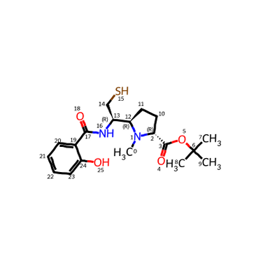 CN1[C@@H](C(=O)OC(C)(C)C)CC[C@@H]1[C@H](CS)NC(=O)c1ccccc1O